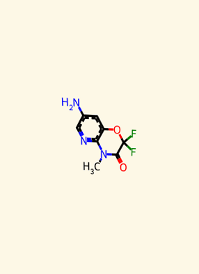 CN1C(=O)C(F)(F)Oc2cc(N)cnc21